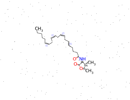 CCCCC/C=C\C/C=C\C/C=C\C/C=C/CCCC(=O)N[C@H]1C(=O)O[C@@H](C)[C@@H]1C